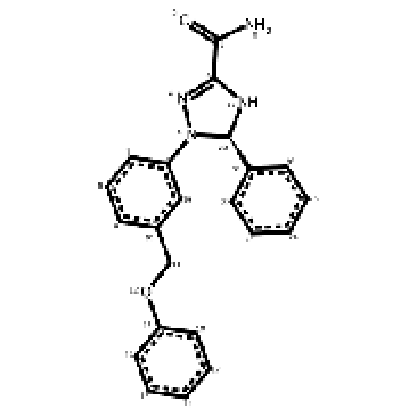 NC(=O)C1=NN(c2cccc(COc3ccccc3)c2)[C@H](c2ccccc2)N1